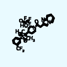 CC(C)(C1CCN(C(=O)Cc2cn3ccccc3n2)CC1)S(=O)(=O)c1cccc(C(F)(F)F)c1.O=C(O)C(F)(F)F